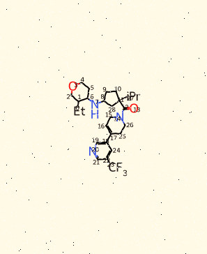 CCC1COCCC1NC1CC[C@@](C(=O)N2CC=C(c3cncc(C(F)(F)F)c3)CC2)(C(C)C)C1